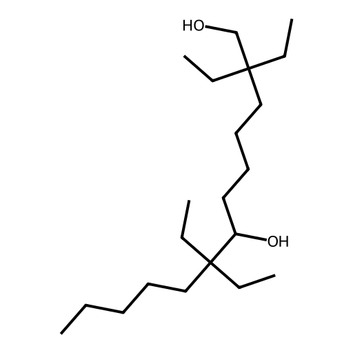 CCCCCC(CC)(CC)C(O)CCCCC(CC)(CC)CO